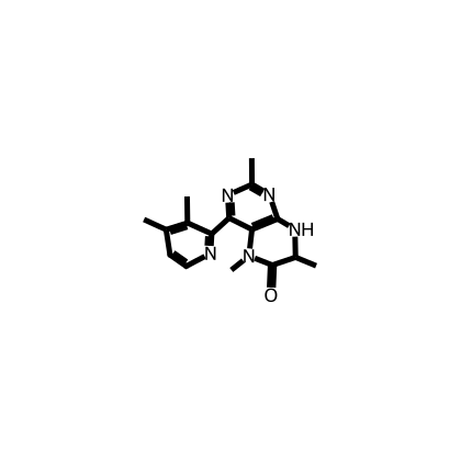 Cc1nc2c(c(-c3nccc(C)c3C)n1)N(C)C(=O)C(C)N2